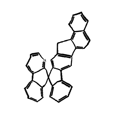 c1ccc2c(c1)-c1cc3c(cc1C21c2ccccc2-c2cccnc21)Cc1c-3ccc2ccccc12